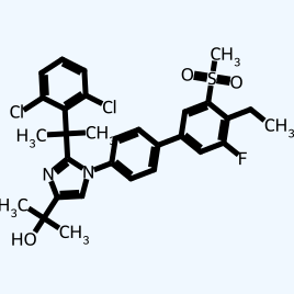 CCc1c(F)cc(-c2ccc(-n3cc(C(C)(C)O)nc3C(C)(C)c3c(Cl)cccc3Cl)cc2)cc1S(C)(=O)=O